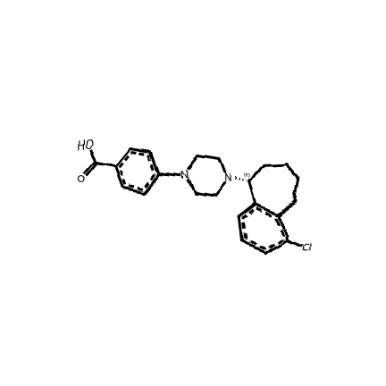 O=C(O)c1ccc(N2CCN([C@@H]3CCCCc4c(Cl)cccc43)CC2)cc1